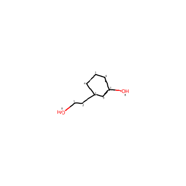 OCCC1CCCC(O)C1